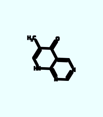 Cc1c[nH]c2ncncc2c1=O